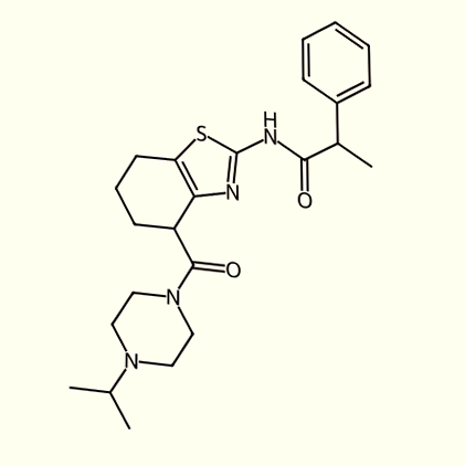 CC(C(=O)Nc1nc2c(s1)CCCC2C(=O)N1CCN(C(C)C)CC1)c1ccccc1